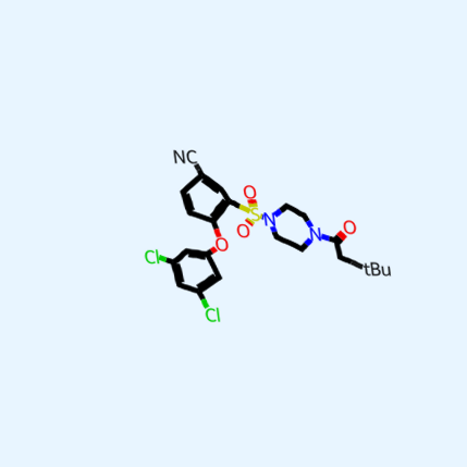 CC(C)(C)CC(=O)N1CCN(S(=O)(=O)c2cc(C#N)ccc2Oc2cc(Cl)cc(Cl)c2)CC1